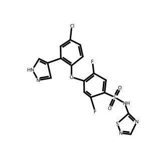 O=S(=O)(Nc1ncns1)c1cc(F)c(Oc2ccc(Cl)cc2-c2cn[nH]c2)cc1F